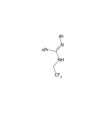 CCC/C(=N\C(C)C)NCC(F)(F)F